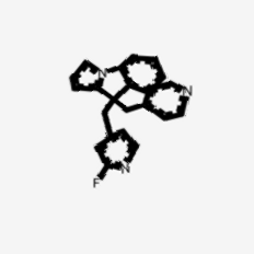 Fc1cc(CC2(Cc3ccncc3)c3ccccc3-n3cccc32)ccn1